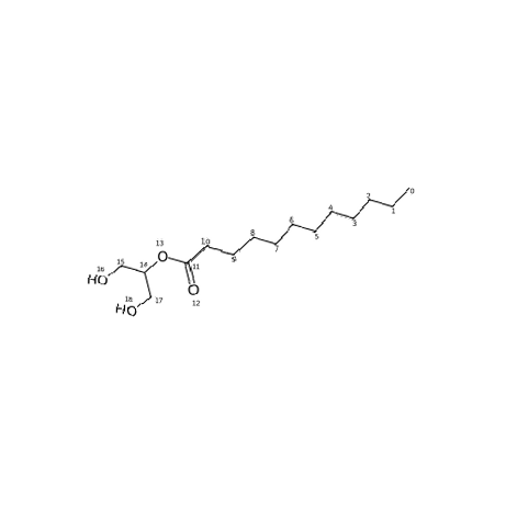 CCCCCCCCCCCC(=O)OC(CO)CO